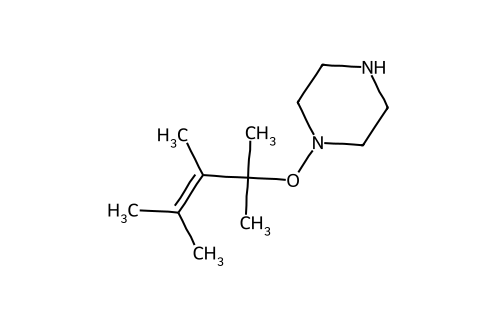 CC(C)=C(C)C(C)(C)ON1CCNCC1